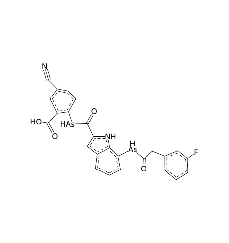 N#Cc1ccc([AsH]C(=O)c2cc3cccc([AsH]C(=O)Cc4cccc(F)c4)c3[nH]2)c(C(=O)O)c1